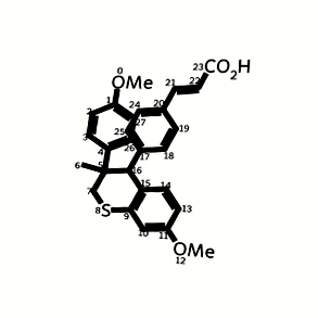 COc1ccc(C2(C)CSc3cc(OC)ccc3C2c2ccc(/C=C/C(=O)O)cc2)cc1